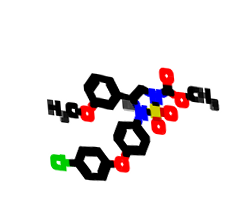 COC(=O)N1C[C@H](c2cccc(OC)c2)N(c2ccc(Oc3ccc(Cl)cc3)cc2)S1(=O)=O